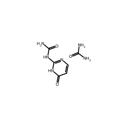 NC(=O)Nc1nccc(=O)[nH]1.NC(N)=O